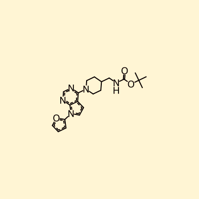 CC(C)(C)OC(=O)NCC1CCN(c2ncnc3c2ccn3-c2ccco2)CC1